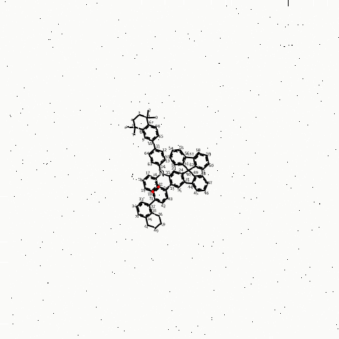 CC1(C)CCC(C)(C)c2cc(-c3ccc(N(c4ccccc4)c4cc5c(cc4-c4ccc(-c6cccc7c6CCCC7)cc4)-c4ccccc4C54c5ccccc5-c5ccccc54)cc3)ccc21